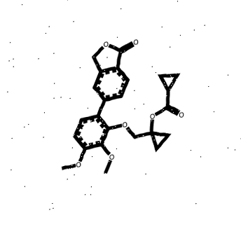 COc1ccc(-c2ccc3c(c2)COC3=O)c(OCC2(OC(=O)C3CC3)CC2)c1OC